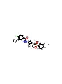 CC(C)([C@H]1C[C@@H](NC(=O)c2ccc(F)c(C(F)(F)F)c2)C1)S(=O)(=O)c1cccc(C(F)(F)F)c1